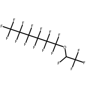 FC(OC(F)(F)C(F)(F)C(F)(F)C(F)(F)C(F)(F)C(F)(F)F)C(F)(F)F